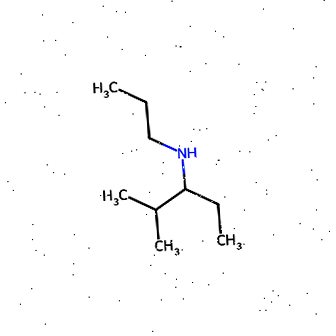 CCCNC(CC)C(C)C